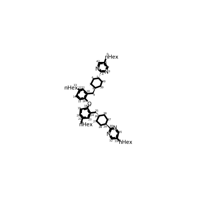 CCCCCCc1cnc([C@H]2CC[C@H](Cc3cc(CCCCCC)ccc3Oc3ccc(CCCCCC)cc3C[C@H]3CC[C@H](c4ncc(CCCCCC)cn4)CC3)CC2)nc1